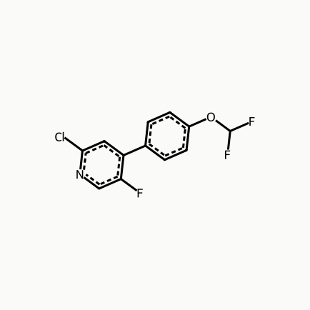 Fc1cnc(Cl)cc1-c1ccc(OC(F)F)cc1